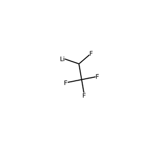 [Li][CH](F)C(F)(F)F